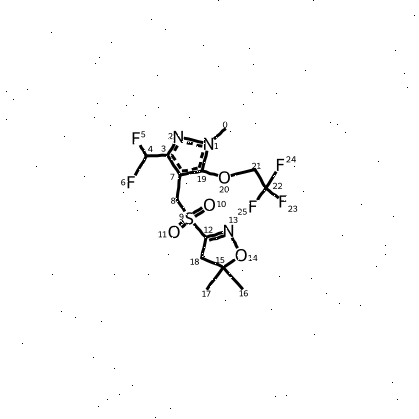 Cn1nc(C(F)F)c(CS(=O)(=O)C2=NOC(C)(C)C2)c1OCC(F)(F)F